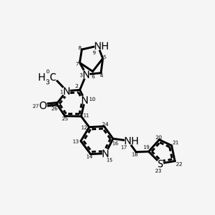 Cn1c(N2CC3CC2CN3)nc(-c2ccnc(NCc3cccs3)c2)cc1=O